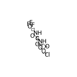 O=C1C[C@H](C(=O)NC23CC(C(=O)NC4CC(OC(F)(F)F)C4)(C2)C3)Oc2ccc(Cl)cc21